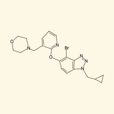 Brc1c(Oc2ncccc2CN2CCOCC2)ccc2c1nnn2CC1CC1